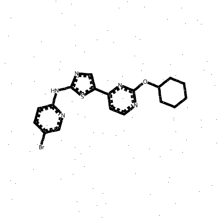 Brc1ccc(Nc2ncc(-c3ccnc(OC4CCCCC4)n3)s2)nc1